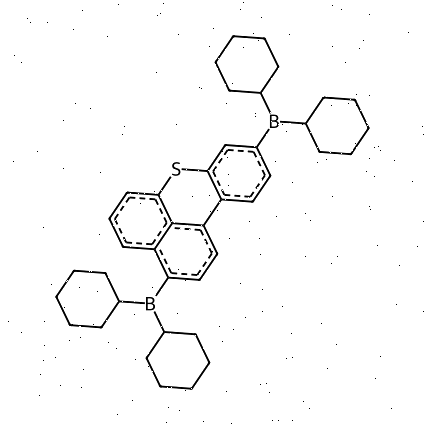 c1cc2c3c(ccc(B(C4CCCCC4)C4CCCCC4)c3c1)-c1ccc(B(C3CCCCC3)C3CCCCC3)cc1S2